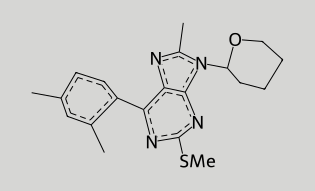 CSc1nc(-c2ccc(C)cc2C)c2nc(C)n(C3CCCCO3)c2n1